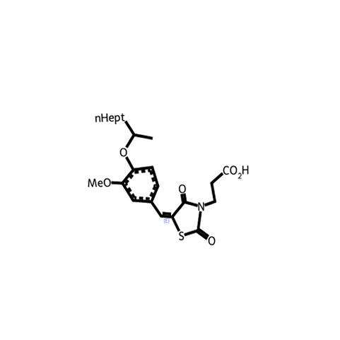 CCCCCCCC(C)Oc1ccc(/C=C2/SC(=O)N(CCC(=O)O)C2=O)cc1OC